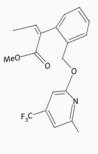 CC=C(C(=O)OC)c1ccccc1COc1cc(C(F)(F)F)cc(C)n1